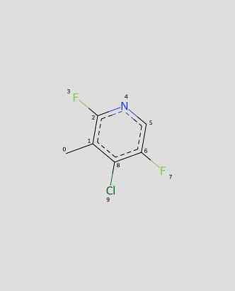 Cc1c(F)ncc(F)c1Cl